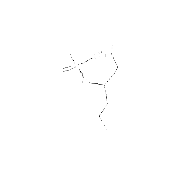 CCCC(CO)OP(=O)(O)O